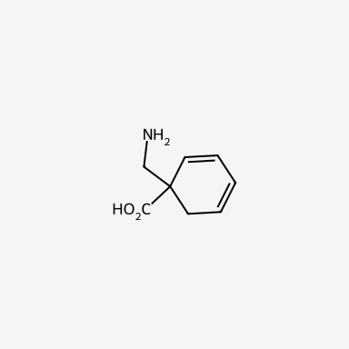 NCC1(C(=O)O)C=CC=CC1